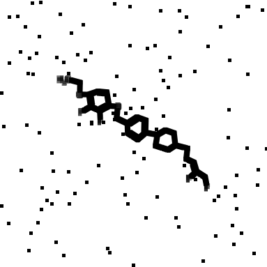 CCOc1ccc(OCc2ccc(C3CCC(CCC=C(F)CF)CC3)cc2)c(F)c1F